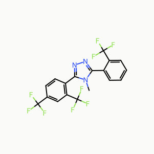 Cn1c(-c2ccccc2C(F)(F)F)nnc1-c1ccc(C(F)(F)F)cc1C(F)(F)F